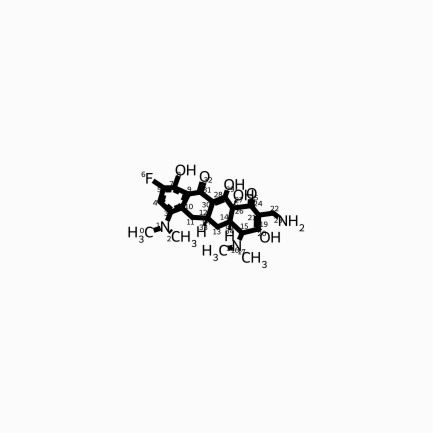 CN(C)c1cc(F)c(O)c2c1C[C@H]1C[C@H]3C(N(C)C)C(O)=C(CN)C(=O)[C@]3(O)C(O)=C1C2=O